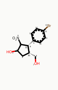 O=[N+]([O-])C1C(O)C[C@@H](CO)[C@H]1c1ccc(Br)cc1